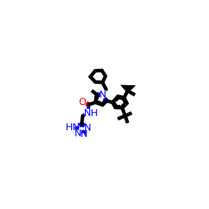 Cc1c(C(=O)NCc2nnn[nH]2)cc(-c2cc(C(C)(C)C)cc(C3(C)CC3)c2)n1CC1CCCCC1